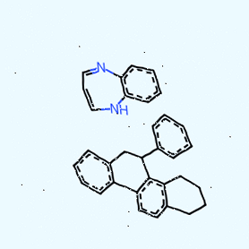 C1=CNc2ccccc2N=C1.c1ccc(C2Cc3ccccc3-c3ccc4c(c32)CCCC4)cc1